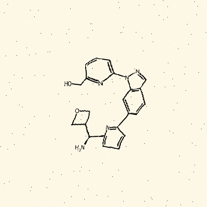 N[C@H](c1cccc(-c2ccc3cnn(-c4cccc(CO)n4)c3c2)n1)C1COC1